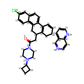 O=C(CC1Cc2c(ccc3cc(Cl)ccc23)C2=C1CCC=C2)N1CCN(C2CCC2)CC1.c1cnc2ccncc2c1